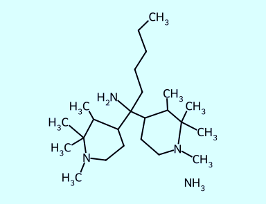 CCCCCC(N)(C1CCN(C)C(C)(C)C1C)C1CCN(C)C(C)(C)C1C.N